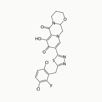 O=C1c2c(O)c(=O)c(-c3nnc(Cc4c(Cl)ccc(Cl)c4F)s3)cn2CC2OCCCN12